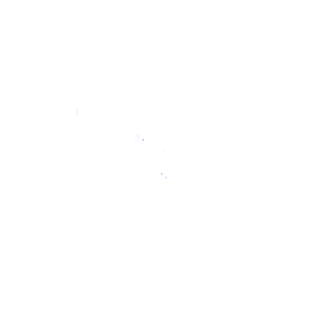 CCOC(=O)CN(C(=S)Nc1cc(Cl)ccc1C)c1ccccc1